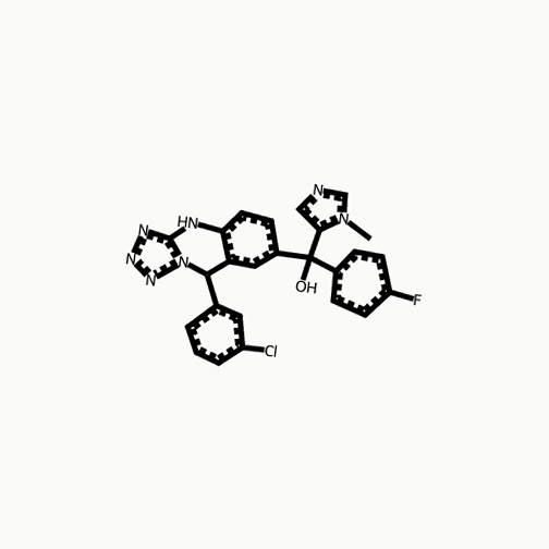 Cn1cncc1C(O)(c1ccc(F)cc1)c1ccc2c(c1)C(c1cccc(Cl)c1)n1nnnc1N2